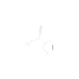 C#CC(C#N)c1ccccc1